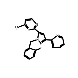 Nc1ccnc(-c2cc(-c3ccccn3)nn2Cc2ccccc2F)n1